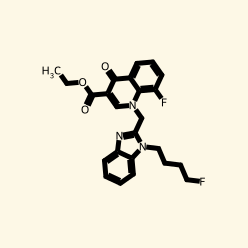 CCOC(=O)c1cn(Cc2nc3ccccc3n2CCCCF)c2c(F)cccc2c1=O